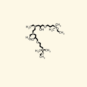 CCO[Si](C)(C)CCCOCC(O)CN(CC)CCN(CC)CC(O)COCCC[Si](C)(C)OCC